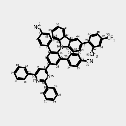 N#Cc1ccc(-c2cc(-c3cc(-c4ccccc4)nc(-c4ccccc4)n3)cc(-c3ccc(C#N)cc3)c2-n2c3ccccc3c3cc(-c4ccc(C(F)(F)F)cc4C(F)(F)F)ccc32)cc1